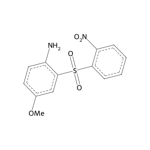 COc1ccc(N)c(S(=O)(=O)c2ccccc2[N+](=O)[O-])c1